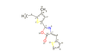 CCc1sc(C2=N/C(=C/c3cccs3)C(=O)O2)cc1C